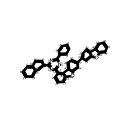 c1ccc(-c2nc(-c3ccc4ccccc4c3)nc(-c3cccc4oc5cc(-c6ccc7c(c6)oc6ccccc67)ccc5c34)n2)cc1